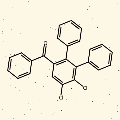 O=C(c1ccccc1)c1cc(Cl)c(Cl)c(-c2ccccc2)c1-c1ccccc1